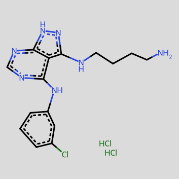 Cl.Cl.NCCCCNc1n[nH]c2ncnc(Nc3cccc(Cl)c3)c12